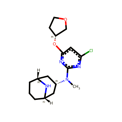 CN(c1nc(Cl)cc(O[C@@H]2CCOC2)n1)[C@H]1C[C@H]2CCC[C@@H](C1)N2